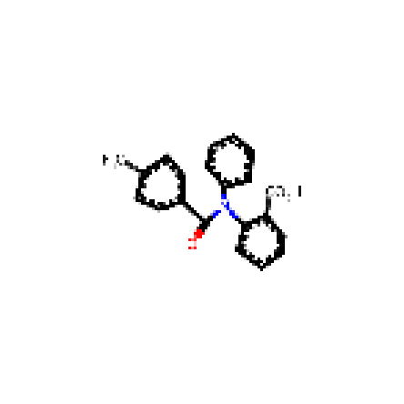 O=C(O)c1ccccc1N(C(=O)c1ccc(C(F)(F)F)cc1)c1ccccc1